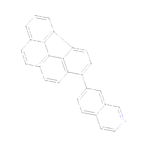 c1cc2c3c(c1)ccc1ccc4c(-c5ccc6ccncc6c5)ccc-2c4c13